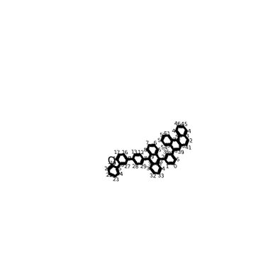 c1cc(-c2c3ccccc3c(-c3ccc(-c4ccc5oc6ccccc6c5c4)cc3)c3ccccc23)cc(-c2cc3ccc4ccccc4c3c3ccccc23)c1